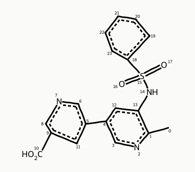 Cc1ncc(-c2cncc(C(=O)O)c2)cc1NS(=O)(=O)c1ccccc1